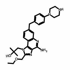 CCOCc1nc2c(N)nc3cc(Cc4ccc(N5CCNCC5)cc4)ccc3c2n1CC(C)(C)O